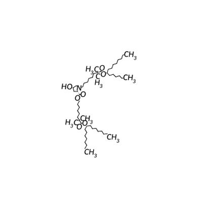 CCCCCCCCC(CCCCCC)OC(=O)C(C)(C)CCCCCCN1C[C@@H](O)C[C@H]1C(=O)OCCCCCCC(C)(C)C(=O)OC(CCCCCCCC)CCCCCCCC